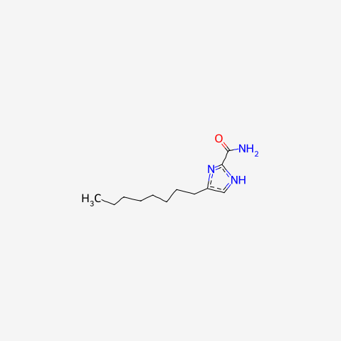 CCCCCCCCc1c[nH]c(C(N)=O)n1